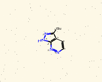 CC(C)(C)c1n[nH]c2nnccc12